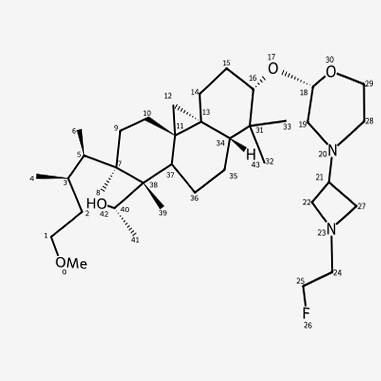 COCC[C@@H](C)[C@@H](C)[C@@]1(C)CC[C@@]23C[C@@]24CC[C@H](O[C@H]2CN(C5CN(CCF)C5)CCO2)C(C)(C)[C@@H]4CCC3[C@]1(C)[C@H](C)O